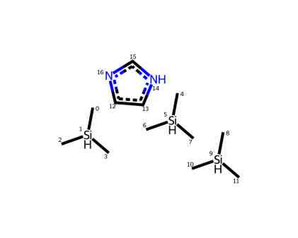 C[SiH](C)C.C[SiH](C)C.C[SiH](C)C.c1c[nH]cn1